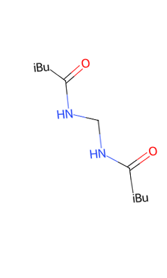 CCC(C)C(=O)NCNC(=O)C(C)CC